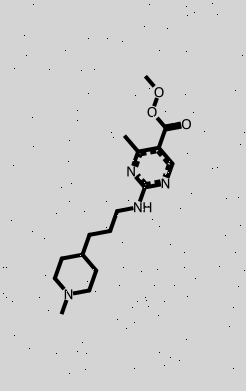 COOC(=O)c1cnc(NCCCC2CCN(C)CC2)nc1C